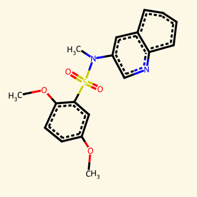 COc1ccc(OC)c(S(=O)(=O)N(C)c2cnc3ccccc3c2)c1